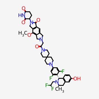 COc1c2c(cc3c1CN(C1CCC(=O)NC1=O)C3=O)CN(CC(=O)N1CCC3(CC1)CCN(c1cc(F)c([C@@H]4c5ccc(O)cc5C[C@@H](C)N4CC(F)F)c(F)c1)CC3)C2